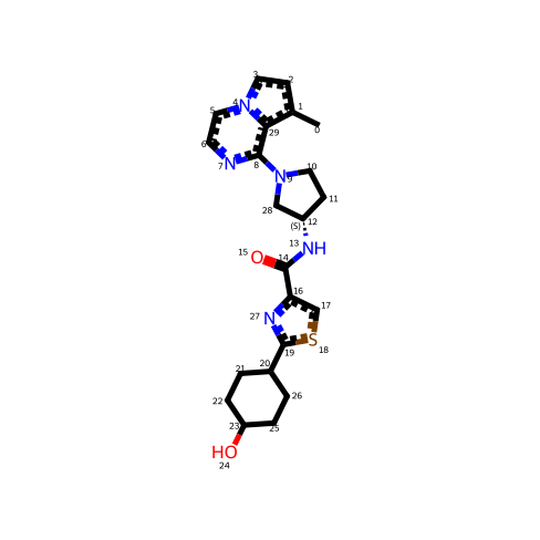 Cc1ccn2ccnc(N3CC[C@H](NC(=O)c4csc(C5CCC(O)CC5)n4)C3)c12